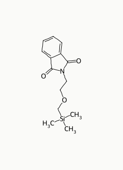 C[Si](C)(C)COCCN1C(=O)c2ccccc2C1=O